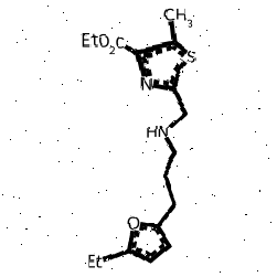 CCOC(=O)c1nc(CNCCCc2ccc(CC)o2)sc1C